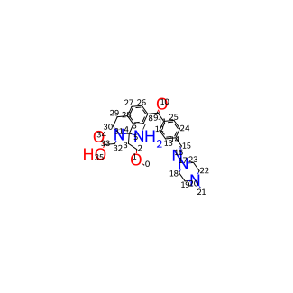 COCCC1(N)c2cc(C(=O)c3ccc(C=NN4CCN(C)CC4)cc3)ccc2CCN1CC(=O)O